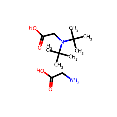 CC(C)(C)N(CC(=O)O)C(C)(C)C.NCC(=O)O